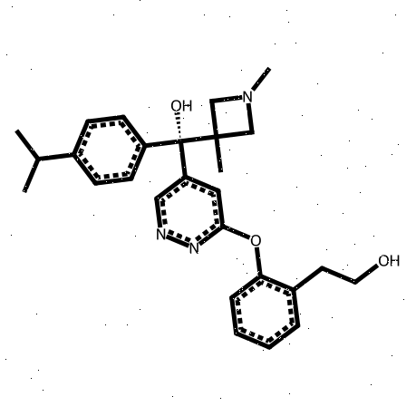 CC(C)c1ccc([C@](O)(c2cnnc(Oc3ccccc3CCO)c2)C2(C)CN(C)C2)cc1